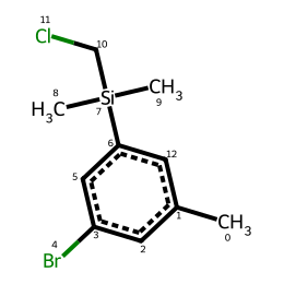 Cc1cc(Br)cc([Si](C)(C)CCl)c1